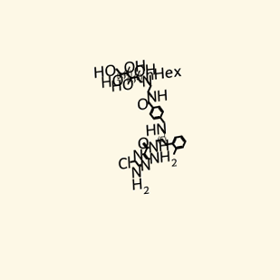 CCCCCCN(CCNC(=O)c1ccc(CNC[C@@H](CNC(=O)c2nc(Cl)c(N)nc2N)Cc2ccccc2C)cc1)C[C@H](O)[C@@H](O)[C@H](O)[C@H](O)CO